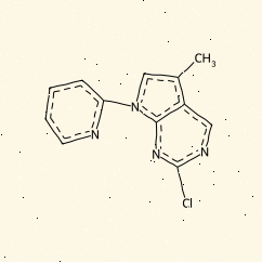 Cc1cn(-c2ccccn2)c2nc(Cl)ncc12